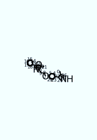 CC1=C(c2ccc(OCCc3nc(-c4ccccc4)oc3C)cc2)CNC1